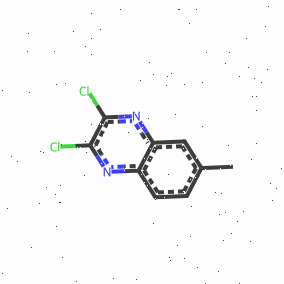 Cc1ccc2nc(Cl)c(Cl)nc2c1